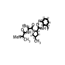 CNC(C)C(=O)NC(C(=O)N1CC(C)CC1C(=O)Nc1c(F)cccc1F)C(C)(C)C